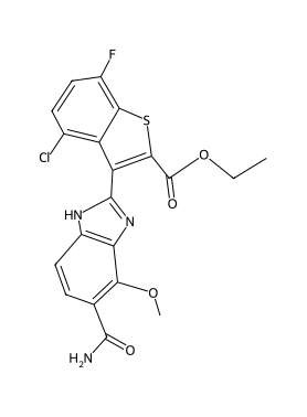 CCOC(=O)c1sc2c(F)ccc(Cl)c2c1-c1nc2c(OC)c(C(N)=O)ccc2[nH]1